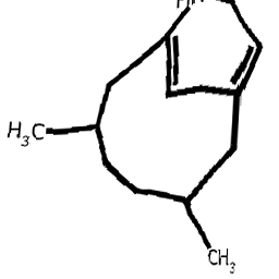 CC1CCC(C)CC2=CC(=CCN2)C1